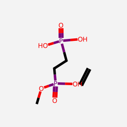 C=C.COP(=O)(O)CCP(=O)(O)O